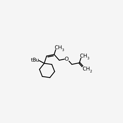 C=C(C)COCC(C)=CC1(C(C)(C)C)CCCCC1